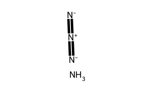 N.[N-]=[N+]=[N-]